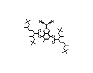 Cc1cc(OC(=O)C(CCC(C)CC(C)(C)C)C(C)CC(C)(C)C)c2c(c1OC(=O)C(CCC(C)CC(C)(C)C)C(C)CC(C)(C)C)SC(=C(C#N)C#N)S2